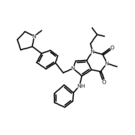 CC(C)Cn1c(=O)n(C)c(=O)c2c(Nc3ccccc3)n(Cc3ccc(C4CCCN4C)cc3)cc21